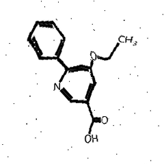 CCOc1cc(C(=O)O)cnc1-c1ccccc1